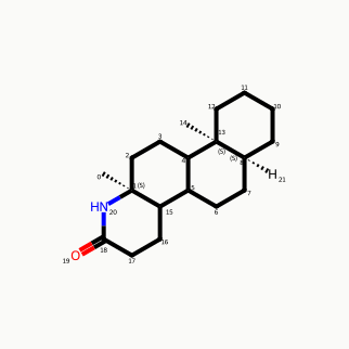 C[C@]12CCC3C(CC[C@@H]4CCCC[C@]34C)C1CCC(=O)N2